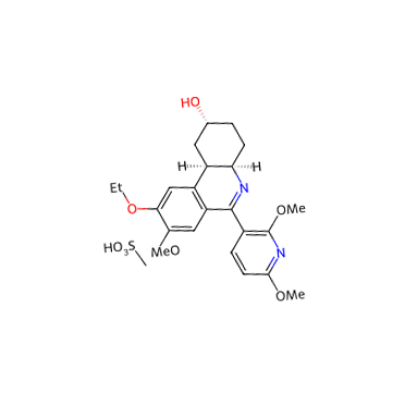 CCOc1cc2c(cc1OC)C(c1ccc(OC)nc1OC)=N[C@@H]1CC[C@@H](O)C[C@H]21.CS(=O)(=O)O